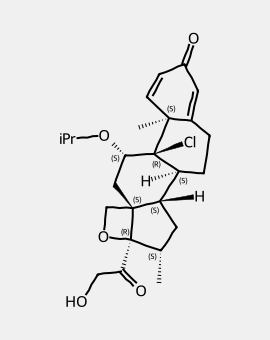 CC(C)O[C@H]1C[C@]23CO[C@]2(C(=O)CO)[C@@H](C)C[C@H]3[C@@H]2CCC3=CC(=O)C=C[C@]3(C)[C@@]12Cl